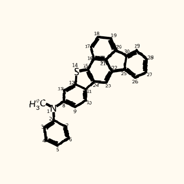 CN(c1ccccc1)c1ccc2c(c1)sc1c3cccc4c3c(cc21)-c1ccccc1-4